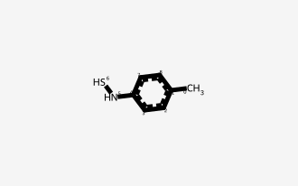 Cc1ccc(NS)cc1